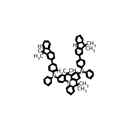 CC1(C)c2ccccc2-c2ccc(-c3ccc(N(c4ccccc4)c4ccc5c(c4)C(C)(C)c4cc(N(c6ccccc6)c6ccc(-c7ccc8c(c7)C(C)(C)C7C=CC=C[C@H]87)cc6)cc6c4N5c4ccccc4C6(C)C)cc3)cc21